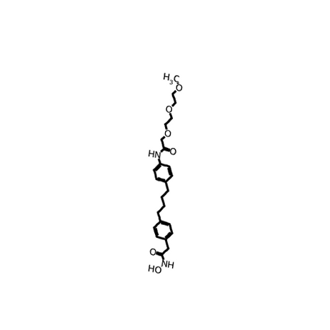 COCCOCCOCC(=O)Nc1ccc(CCCCc2ccc(CC(=O)NO)cc2)cc1